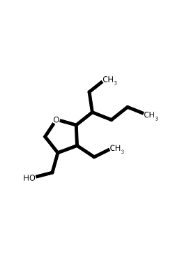 CCCC(CC)C1OCC(CO)C1CC